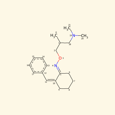 CC(CON=C1CCCCC1=Cc1ccccc1)CN(C)C